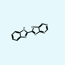 c1ccc2[nH]c(-c3nc4ncncc4[nH]3)nc2c1